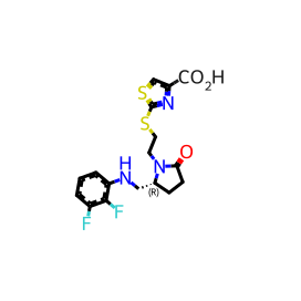 O=C(O)c1csc(SCCN2C(=O)CC[C@@H]2CNc2cccc(F)c2F)n1